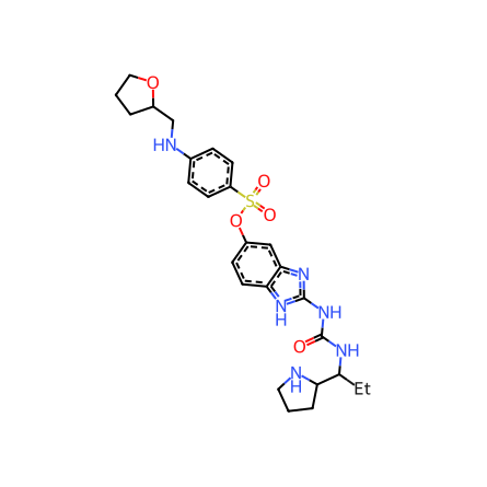 CCC(NC(=O)Nc1nc2cc(OS(=O)(=O)c3ccc(NCC4CCCO4)cc3)ccc2[nH]1)C1CCCN1